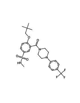 CNS(=O)(=O)c1ccc(OCC(C)(C)C)c(C(=O)N2CCN(c3ccc(C(F)(F)F)cc3)CC2)c1